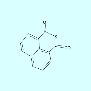 O=C1SC(=O)c2cccc3cccc1c23